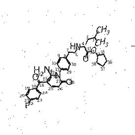 CC(C)C[C@H](NCCc1ccc(-n2c(N)c(C(=O)c3ccc(F)cc3)ccc2=O)cc1)C(=O)OC1CCCC1